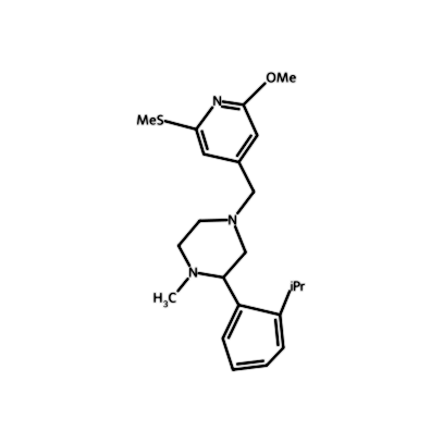 COc1cc(CN2CCN(C)C(c3ccccc3C(C)C)C2)cc(SC)n1